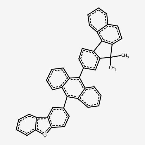 CC1(C)c2cc(-c3c4ccccc4c(-c4ccc5oc6ccccc6c5c4)c4ccccc34)ccc2-c2c1ccc1ccccc21